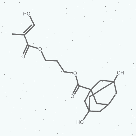 CC(=CO)C(=O)OCCCOC(=O)C12CC3CC(O)(CC(O)(C3)C1)C2